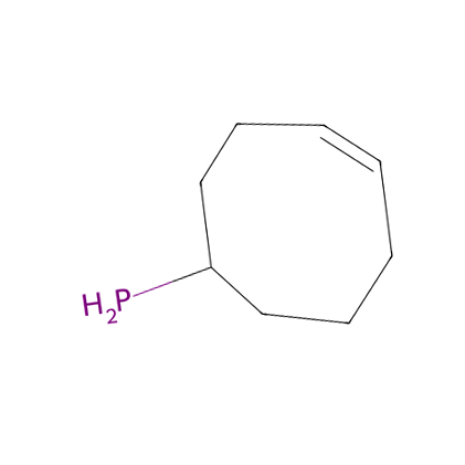 PC1CCC=CCCC1